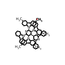 Cc1ccc2c(c1)c1cc(C)ccc1n2-c1nc(-n2c3ccccc3c3ccccc32)c(-n2c3ccc(C)cc3c3cc(C)ccc32)c(-c2cc(-c3ccccc3)nc(-c3ccccc3)c2)c1-n1c2ccc(C)cc2c2cc(C)ccc21